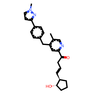 Cc1cnc(C(=O)C/C=C/[C@H]2CCC[C@@H]2O)cc1Cc1ccc(-c2ccn(C)n2)cc1